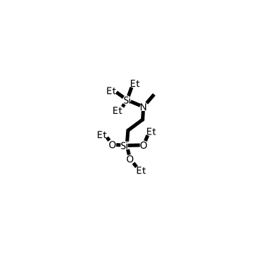 CCO[Si](CCN(C)[Si](CC)(CC)CC)(OCC)OCC